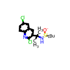 CC(C)(N[S+]([O-])C(C)(C)C)c1cc2cc(Cl)ccc2nc1Cl